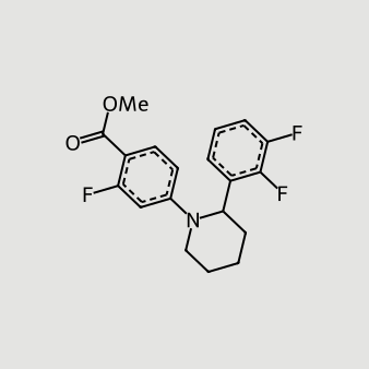 COC(=O)c1ccc(N2CCCCC2c2cccc(F)c2F)cc1F